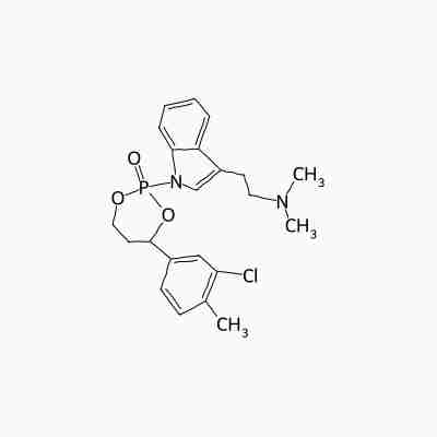 Cc1ccc(C2CCOP(=O)(n3cc(CCN(C)C)c4ccccc43)O2)cc1Cl